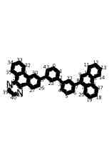 c1cc(-c2cccc(-c3cc4ccccc4c4ccccc34)c2)cc(-c2ccc3c(c2)c2ccccc2c2nccnc32)c1